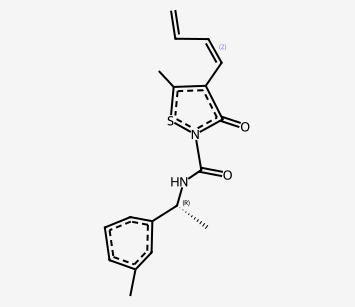 C=C/C=C\c1c(C)sn(C(=O)N[C@H](C)c2cccc(C)c2)c1=O